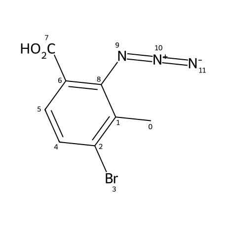 Cc1c(Br)ccc(C(=O)O)c1N=[N+]=[N-]